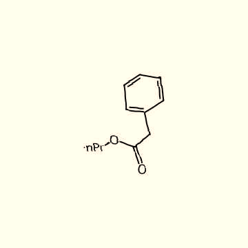 CC[CH]OC(=O)Cc1ccccc1